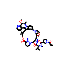 C=CC(=O)N1CC[C@H](C(=O)N(C)C(C(=O)N[C@H]2C[C@@H]3OCCN(c4ccc5c(c4)c(c(-c4cccnc4[C@H](C)OC)n5CC)CC(C)(C)COC(=O)[C@@H]4CCCN(N4)C2=O)[C@H]3C)C(C)C)C1